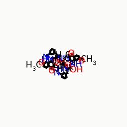 COc1ccc2c(c1)[C@@H](NC[C@H](O)[C@H](Cc1cccc(C#N)c1)NC(=O)CCC(=O)N[C@@H](Cc1cccc(C#N)c1)[C@@H](O)CN[C@@H]1CC(C)(C)C(=O)c3ccc(OC)cc31)CC(C)(C)C2=O